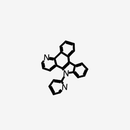 c1ccc(-n2c3ccccc3c3c4ccccc4c4ncccc4c32)nc1